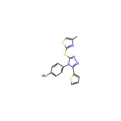 Cc1csc(Sc2nnc(-c3cccs3)n2-c2ccc(C(C)(C)C)cc2)n1